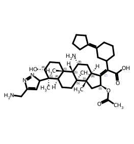 CC(=O)O[C@H]1C[C@@]2(C)[C@@H](C[C@@H](N)[C@H]3[C@@]4(C)CC[C@@H](O)[C@](C)(C5C=C(CN)N=N5)[C@@H]4CC[C@@]32C)/C1=C(/C(=O)O)C1CCCC(=C2CCCC2)C1